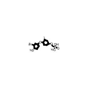 CC(C)c1cc(Oc2ccc(OCP(=O)(O)O)cc2I)ccc1O